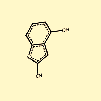 N#Cc1cc2c(O)cccc2s1